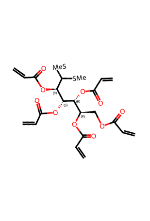 C=CC(=O)OC[C@@H](OC(=O)C=C)[C@@H](OC(=O)C=C)[C@H](OC(=O)C=C)[C@@H](OC(=O)C=C)C(SC)SC